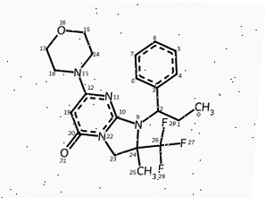 CCC(c1ccccc1)N1c2nc(N3CCOCC3)cc(=O)n2CC1(C)C(F)(F)F